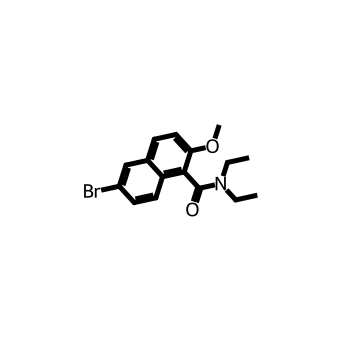 CCN(CC)C(=O)c1c(OC)ccc2cc(Br)ccc12